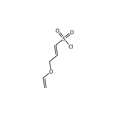 C=COCC=CS(=O)(=O)Cl